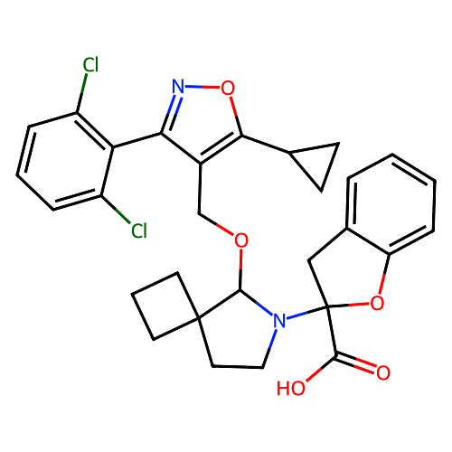 O=C(O)C1(N2CCC3(CCC3)C2OCc2c(-c3c(Cl)cccc3Cl)noc2C2CC2)Cc2ccccc2O1